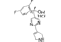 C[C@@](O)(c1cnc(C2=CCNCC2)nc1)c1ccc(F)cc1F.Cl